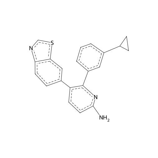 Nc1ccc(-c2ccc3ncsc3c2)c(-c2cccc(C3CC3)c2)n1